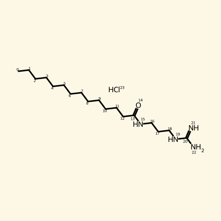 CCCCCCCCCCCCCC(=O)NCCCNC(=N)N.Cl